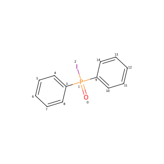 O=P(I)(c1ccccc1)c1ccccc1